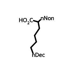 CCCCCCCCCCCCCCC(CCCCCCCCC)C(=O)O